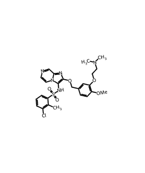 COc1ccc(COc2nc3cnccn3c2NS(=O)(=O)c2cccc(Cl)c2C)cc1OCCN(C)C